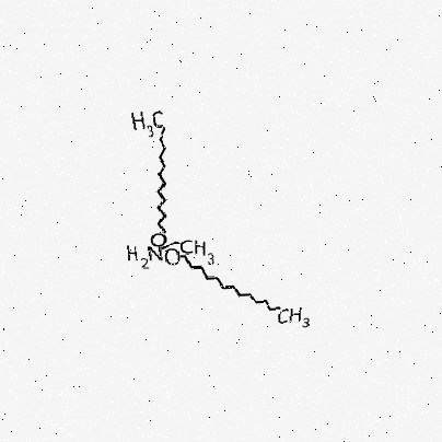 CCCCCCCCCCCCCCOC(N)(CC)OCCCCCCCCCCCCCC